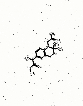 C=C(C)CN1c2ccc(C(C)C(=O)OC)cc2CCC1(C)C